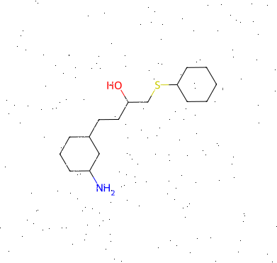 NC1CCCC(CCC(O)CSC2CCCCC2)C1